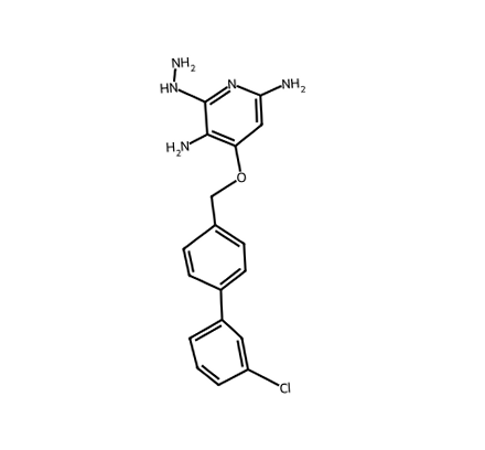 NNc1nc(N)cc(OCc2ccc(-c3cccc(Cl)c3)cc2)c1N